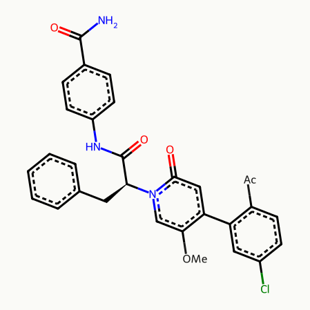 COc1cn([C@@H](Cc2ccccc2)C(=O)Nc2ccc(C(N)=O)cc2)c(=O)cc1-c1cc(Cl)ccc1C(C)=O